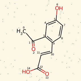 CC(=O)c1cc(O)ccc1/C=C/C(=O)O